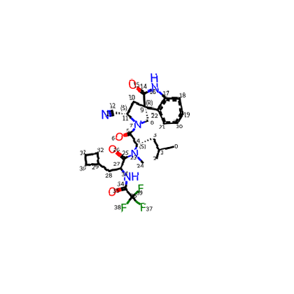 CC(C)C[C@@H](C(=O)N1C[C@]2(C[C@H]1C#N)C(=O)Nc1ccccc12)N(C)C(=O)C(CC1CCC1)NC(=O)C(F)(F)F